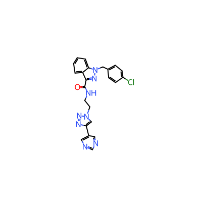 O=C(NCCn1cc(-c2cncnc2)nn1)c1nn(Cc2ccc(Cl)cc2)c2ccccc12